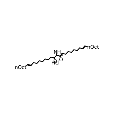 CCCCCCCCC=CCCCCCCCC(=O)C(N)C(=O)CCCCCCCC=CCCCCCCCC.Cl